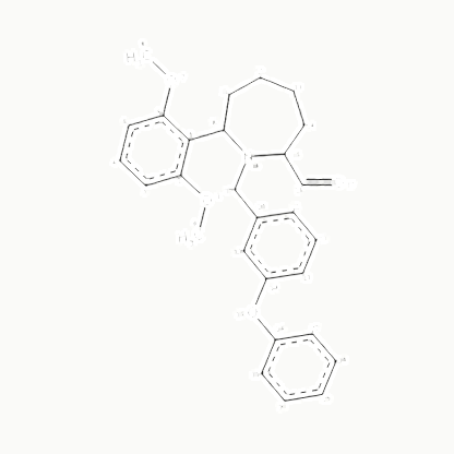 COc1cccc(OC)c1C1CCCCC(C=O)N1Cc1cccc(Oc2ccccc2)c1